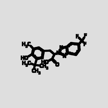 Cc1cc(CC(C(=O)O)n2nc3ccc(C(F)(F)F)cc3n2)cc(C(C)(C)C)c1O